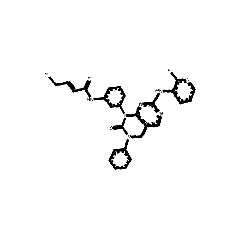 O=C(/C=C/CF)Nc1cccc(N2C(=O)N(c3ccccc3)Cc3cnc(Nc4cccnc4F)nc32)c1